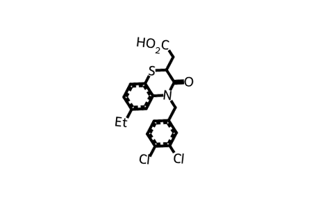 CCc1ccc2c(c1)N(Cc1ccc(Cl)c(Cl)c1)C(=O)C(CC(=O)O)S2